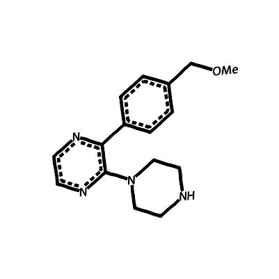 COCc1ccc(-c2nccnc2N2CCNCC2)cc1